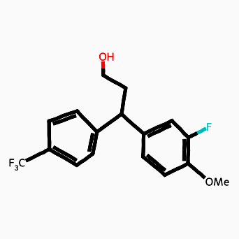 COc1ccc(C(CCO)c2ccc(C(F)(F)F)cc2)cc1F